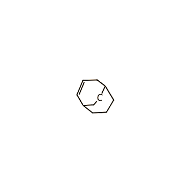 C1=CC2CCCC(C1)CC2